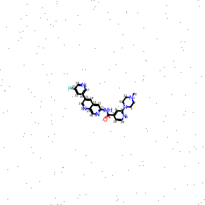 CN1CCN(c2cc(C(=O)Nc3cc4cc(-c5cncc(F)c5)cnc4cn3)ccn2)CC1